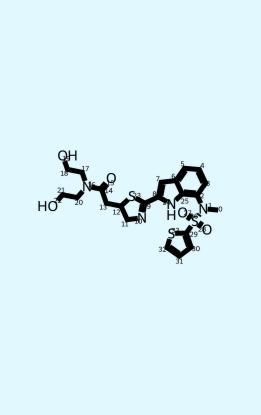 CN(c1cccc2cc(C3=NCC(CC(=O)N(CCO)CCO)S3)[nH]c12)S(=O)(=O)c1cccs1